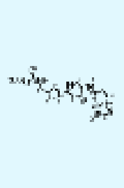 CCc1cc(-c2ccc(CNC(=O)OC(C)(C)C)s2)ncc1N(C)c1cc2c(cn1)ncn2C